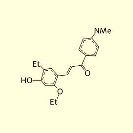 CCOc1cc(O)c(CC)cc1C=CC(=O)c1ccc(NC)cc1